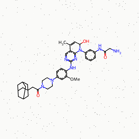 COc1cc(N2CCN(C(=O)CC34CC5CC(CC(C5)C3)C4)CC2)ccc1Nc1ncc2c(n1)N(c1cccc(NC(=O)CN)c1)C(O)C=C2C